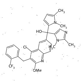 COc1nc2ccc(C(O)(c3ccc(C)n3C)c3cnc(C)n3C)cc2c(Cl)c1Cc1ccccc1C(F)(F)F